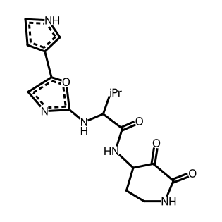 CC(C)C(Nc1ncc(-c2cc[nH]c2)o1)C(=O)NC1CCNC(=O)C1=O